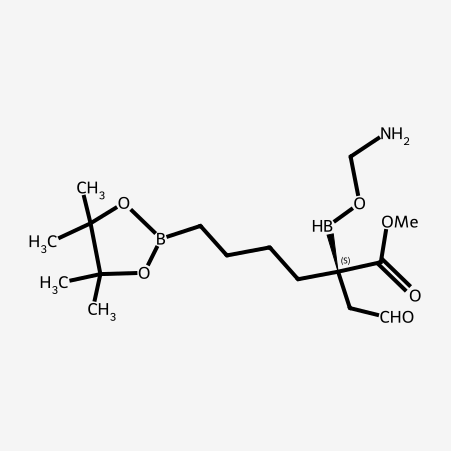 COC(=O)[C@](BOCN)(CC=O)CCCCB1OC(C)(C)C(C)(C)O1